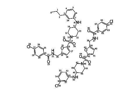 CCCc1cccc(NC2CCN(S(=O)(=O)c3ccc(CNC(=O)c4ccc(Cl)cc4)o3)CC2)c1.O=C(NCc1ccc(S(=O)(=O)N2CCC(Nc3cccc(Cl)c3)CC2)o1)c1ccc(Cl)cc1